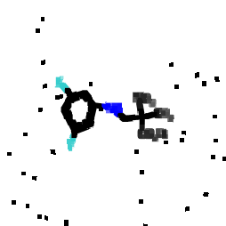 CCOC(=O)C(C)(CNc1cc(F)cc(F)c1)[N+](=O)[O-]